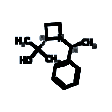 C[C@@H](c1ccccc1)N1CC[C@H]1C(C)(C)O